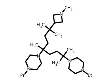 CCN1CCN(C(C)(C)CCC(C)(CCC(C)(C)C2CN(C)C2)N2CCN(C(C)C)CC2)CC1